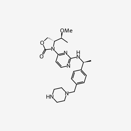 CO[C@@H](C)[C@H]1COC(=O)N1c1ccnc(N[C@@H](C)c2ccc(CN3CCNCC3)cc2)n1